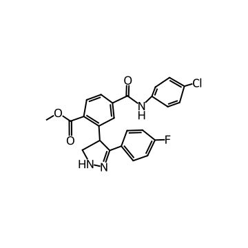 COC(=O)c1ccc(C(=O)Nc2ccc(Cl)cc2)cc1C1CNN=C1c1ccc(F)cc1